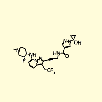 CN1CC[C@@H](Nc2cccc3c(CC(F)(F)F)c(C#CCNC(=O)c4cnn(C5(O)CC5)c4)nn23)[C@@H](F)C1